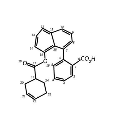 O=C(O)c1ccccc1-c1cccc2cccc(OC(=O)C3CC=CCC3)c12